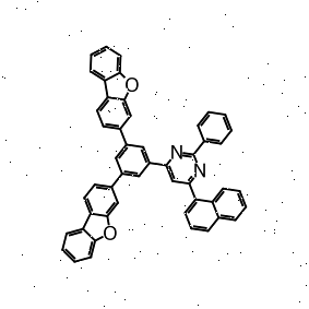 c1ccc(-c2nc(-c3cc(-c4ccc5c(c4)oc4ccccc45)cc(-c4ccc5c(c4)oc4ccccc45)c3)cc(-c3cccc4ccccc34)n2)cc1